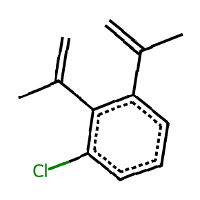 C=C(C)c1cccc(Cl)c1C(=C)C